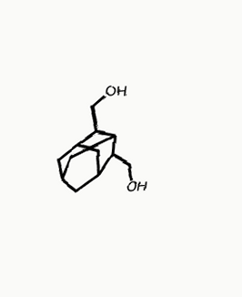 OCC1C2CC3CC(C2)C(CO)C1C3